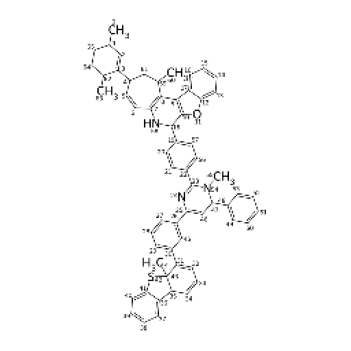 CC1C=C(C2C=CC3=C(c4c(oc5ccccc45)C(c4ccc(C5=NC(c6cccc(C7=CC=CC8c9ccccc9SC78C)c6)=CC(c6ccccc6)N5C)cc4)N3)C(C)C2)C(C)CC1